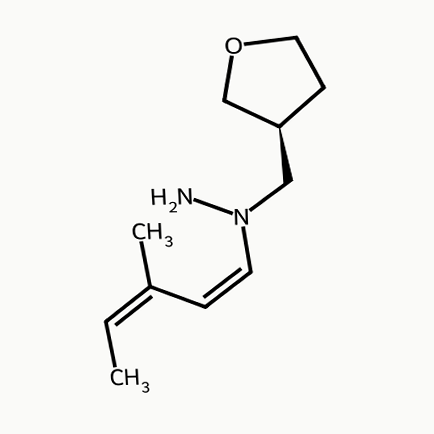 C/C=C(C)\C=C/N(N)C[C@@H]1CCOC1